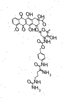 COc1cccc2c1C(=O)c1c(O)c3c(c(O)c1C2=O)C[C@@](O)(C(C)=O)C[C@@H]3O[C@H]1C[C@H](NC(=O)OCc2ccc(NC(=O)[C@@H](N)CCCNC(N)=O)cc2)[C@H](O)[C@H](C)O1